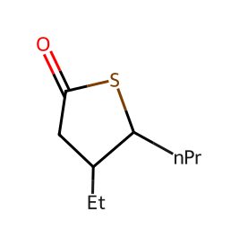 CCCC1SC(=O)CC1CC